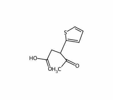 CC(=O)C(CC(=O)O)c1cccs1